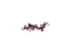 C=CC(=O)Nc1cccc(-n2c(=O)n(-c3ccc(Oc4ccc(OC)c(OCN(C(=O)C=C)c5cccc(-n6c(=O)n(-c7ccc(Oc8cc(Cl)cc(Cl)c8)cc7)c7cnccc76)c5)c4)cc3)c3cnccc32)c1